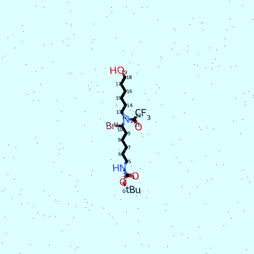 CC(C)(C)OC(=O)NCCCCCC(Br)N(CCCCCCO)C(=O)C(F)(F)F